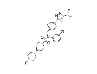 O=S(=O)(C1CCN([C@H]2CC[C@@H](F)CC2)CC1)N(Cc1ccc(-c2nnc(C(F)F)o2)cn1)c1cccc(Cl)c1